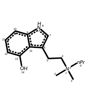 CCC[N+](C)(C)CCc1c[nH]c2cccc(O)c12